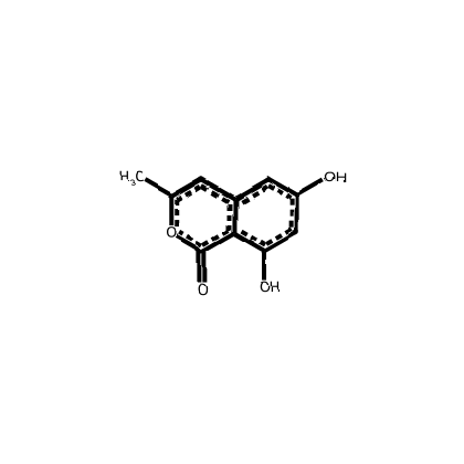 Cc1cc2cc(O)cc(O)c2c(=O)o1